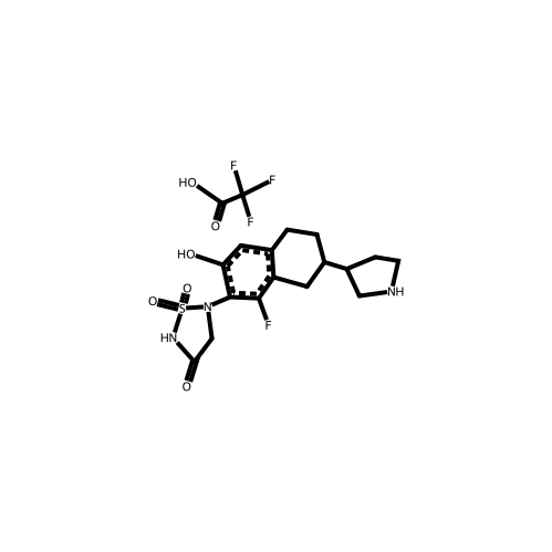 O=C(O)C(F)(F)F.O=C1CN(c2c(O)cc3c(c2F)CC(C2CCNC2)CC3)S(=O)(=O)N1